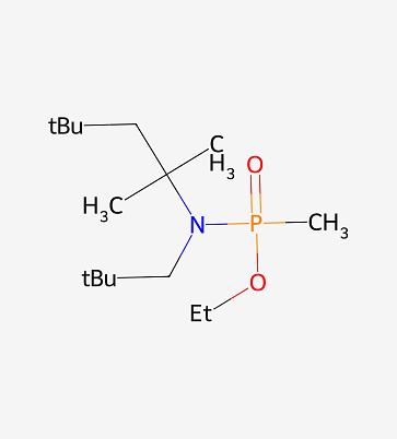 CCOP(C)(=O)N(CC(C)(C)C)C(C)(C)CC(C)(C)C